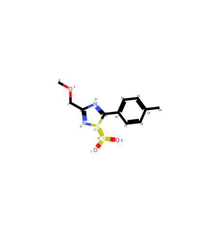 COCC1=NS(=S(=O)=O)C(c2ccc(C)cc2)=N1